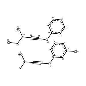 CC(O)C#COc1cccc(Cl)c1.OC(C#COc1ccccc1)CCl